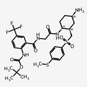 CSc1ccc(S(=O)(=O)C[C@@H]2C[C@H](N)CC[C@@H]2NC(=O)CNC(=O)c2cc(C(F)(F)F)ccc2NC(=O)OC(C)(C)C)cc1